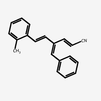 Cc1ccccc1C=CC(C=CC#N)=Cc1ccccc1